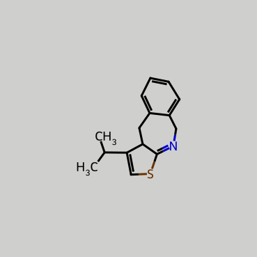 CC(C)C1=CSC2=NCc3ccccc3CC12